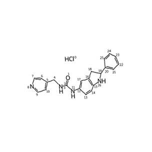 Cl.O=C(NCc1ccncc1)Nc1ccc2c(c1)CC(c1ccccc1)N2